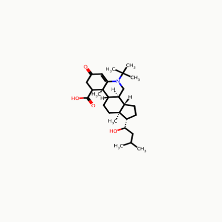 CC(C)CC(O)[C@H]1CC[C@H]2[C@@H]3CN(C(C)(C)C)C4=CC(=O)CC(C(=O)O)[C@]4(C)[C@H]3CC[C@]12C